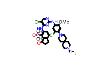 COc1cc(N2CCC3(CCN(C)CC3)CC2)c(Cl)cc1Nc1ncc(Cl)c(Nc2ccc3c(c2P(C)(C)=O)C(=O)CC3)n1